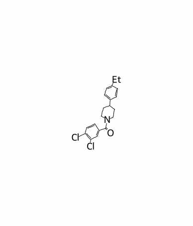 CCc1ccc(C2CCN(C(=O)c3ccc(Cl)c(Cl)c3)CC2)cc1